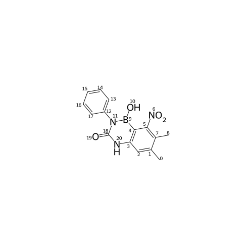 Cc1cc2c(c([N+](=O)[O-])c1C)B(O)N(c1ccccc1)C(=O)N2